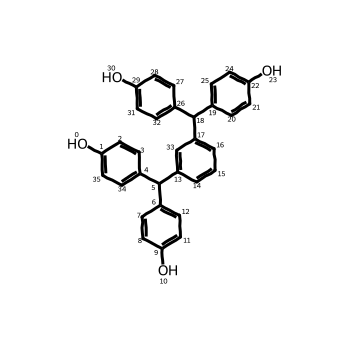 Oc1ccc(C(c2ccc(O)cc2)c2cccc(C(c3ccc(O)cc3)c3ccc(O)cc3)c2)cc1